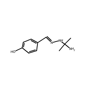 CC(C)(N)N/N=C/c1ccc(O)cc1